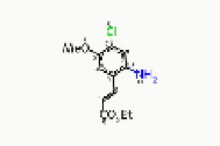 CCOC(=O)/C=C/c1cc(OC)c(Cl)cc1N